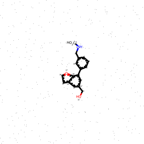 O=C(O)NCc1cccc(-c2cc(CO)cc3ccoc23)c1